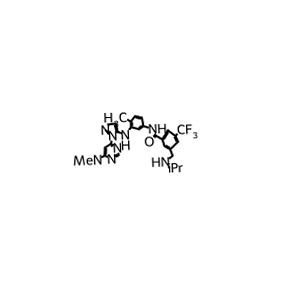 CNc1cc(-n2nccc2Nc2cc(NC(=O)c3cc(CNC(C)C)cc(C(F)(F)F)c3)ccc2C)ncn1